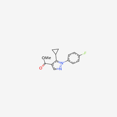 COC(=O)c1cnn(-c2ccc(F)cc2)c1C1CC1